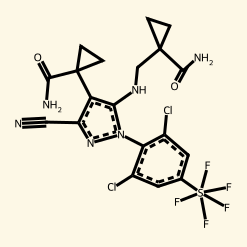 N#Cc1nn(-c2c(Cl)cc(S(F)(F)(F)(F)F)cc2Cl)c(NCC2(C(N)=O)CC2)c1C1(C(N)=O)CC1